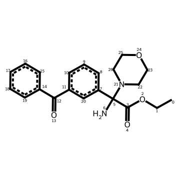 CCOC(=O)C(N)(c1cccc(C(=O)c2ccccc2)c1)N1CCOCC1